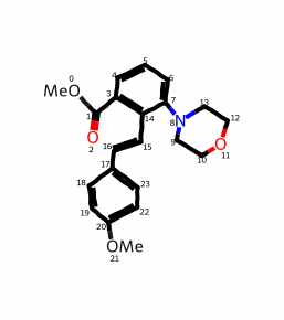 COC(=O)c1cccc(N2CCOCC2)c1C=Cc1ccc(OC)cc1